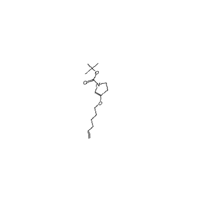 C=CCCCCOC1CCN(C(=O)OC(C)(C)C)C1